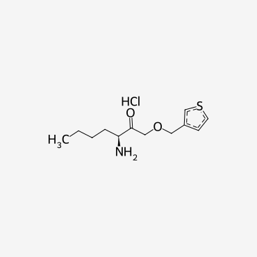 CCCC[C@H](N)C(=O)COCc1ccsc1.Cl